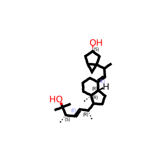 CC(/C=C1\CCC[C@]2(C)C([C@H](C)/C=C/[C@H](C)C(C)(C)O)CC[C@@H]12)C12CC1C[C@H](O)C2